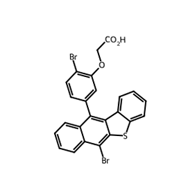 O=C(O)COc1cc(-c2c3ccccc3c(Br)c3sc4ccccc4c23)ccc1Br